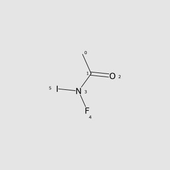 CC(=O)N(F)I